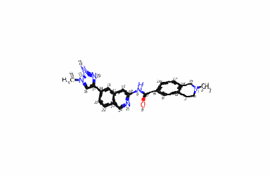 CN1CCc2cc(C(=O)Nc3cc4cc(-c5cn(C)nn5)ccc4cn3)ccc2C1